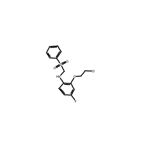 O=S(=O)(CNc1ccc(F)cc1OCCCl)c1ccccc1